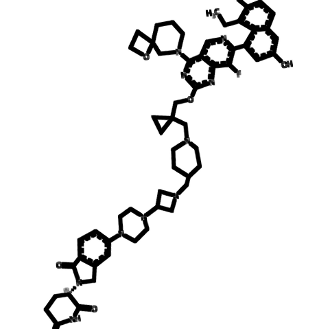 CCc1c(F)ccc2cc(O)cc(-c3ncc4c(N5CCCC6(CCO6)C5)nc(OCC5(CN6CCC(CN7CC(N8CCN(c9ccc%10c(c9)CN([C@H]9CCC(=O)NC9=O)C%10=O)CC8)C7)CC6)CC5)nc4c3F)c12